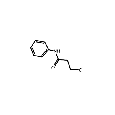 O=C(CCCl)Nc1ccccc1